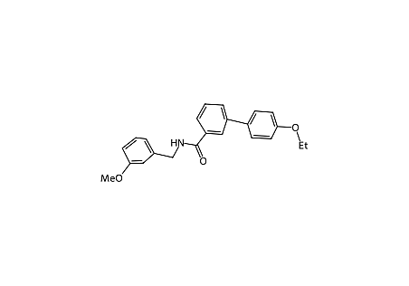 CCOc1ccc(-c2cccc(C(=O)NCc3cccc(OC)c3)c2)cc1